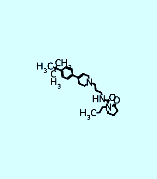 CCC[N+]1(C(=O)NCCCN2CC=C(c3ccc(C(C)(C)C)cc3)CC2)CCCC1=O